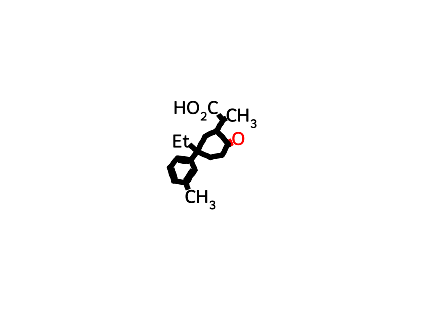 CCC1(c2cccc(C)c2)CCC(=O)C(C(C)C(=O)O)C1